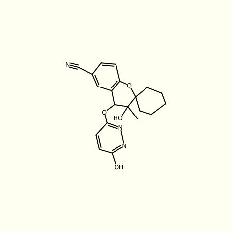 CC1(O)C(Oc2ccc(O)nn2)c2cc(C#N)ccc2OC12CCCCC2